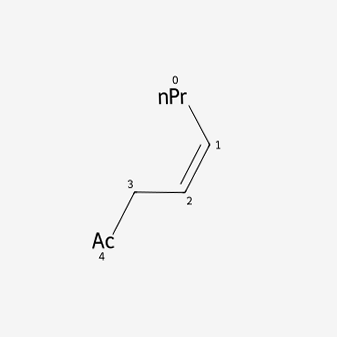 CCC/C=C\CC(C)=O